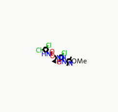 COc1nc(C)c(Nc2nc(Cl)cn(C(COC(=O)Nc3cc(Cl)cc(Cl)c3)C3CC3)c2=O)cc1C